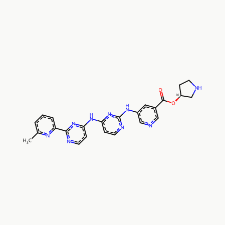 Cc1cccc(-c2nccc(Nc3ccnc(Nc4cncc(C(=O)O[C@H]5CCNC5)c4)n3)n2)n1